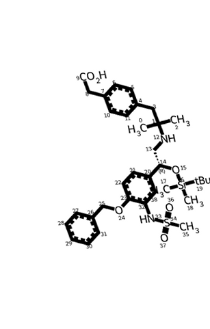 CC(C)(Cc1ccc(CC(=O)O)cc1)NC[C@H](O[Si](C)(C)C(C)(C)C)c1ccc(OCc2ccccc2)c(NS(C)(=O)=O)c1